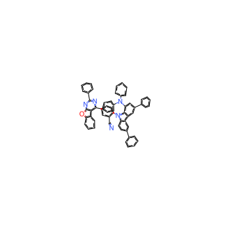 N#Cc1cc(-c2nc(-c3ccccc3)nc3oc4ccccc4c23)ccc1-n1c2ccc(-c3ccccc3)cc2c2cc(-c3ccccc3)cc(N(c3ccccc3)c3ccccc3)c21